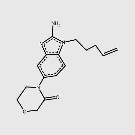 C=CCCCn1c(N)nc2cc(N3CCOCC3=O)ccc21